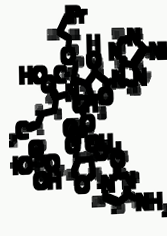 C=CCCC(=O)N(C)[C@](COCCC(C)C)(C(=O)O)C1C(COP(=O)(O)O[C@H]2[C@@H](O)[C@H](n3ccc(N)nc3=O)O[C@@H]2COP(=O)(O)O)OC(n2cnc3c(N)ncnc32)C1O